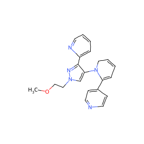 COCCn1cc(N2CC=CC=C2c2ccncc2)c(-c2ccccn2)n1